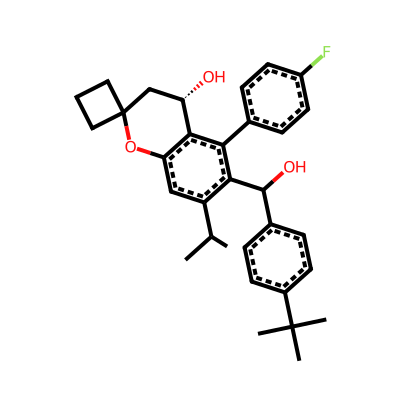 CC(C)c1cc2c(c(-c3ccc(F)cc3)c1C(O)c1ccc(C(C)(C)C)cc1)[C@@H](O)CC1(CCC1)O2